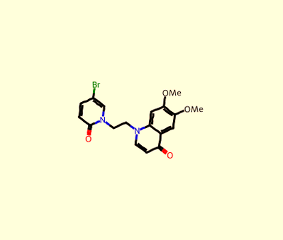 COc1cc2c(=O)ccn(CCn3cc(Br)ccc3=O)c2cc1OC